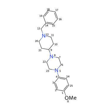 COc1ccc(N2CCN(C3CCN(Cc4ccccc4)CC3)CC2)cc1